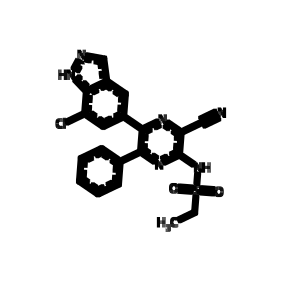 CCS(=O)(=O)Nc1nc(-c2ccccc2)c(-c2cc(Cl)c3[nH]ncc3c2)nc1C#N